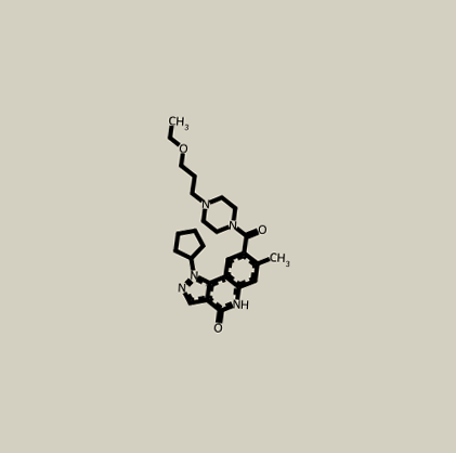 CCOCCCN1CCN(C(=O)c2cc3c(cc2C)[nH]c(=O)c2cnn(C4CCCC4)c23)CC1